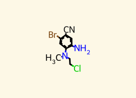 CN(CCCl)c1cc(Br)c(C#N)cc1N